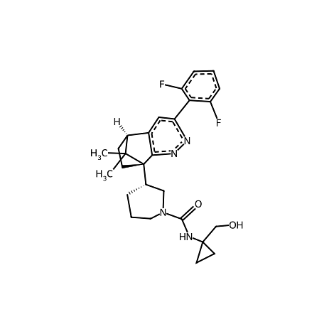 CC1(C)[C@H]2CC[C@]1([C@H]1CCCN(C(=O)NC3(CO)CC3)C1)c1nnc(-c3c(F)cccc3F)cc12